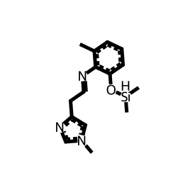 Cc1cccc(O[SiH](C)C)c1N=CCc1cn(C)cn1